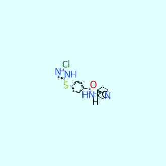 O=C(N[C@H]1CN2CCC1CC2)c1ccc(Sc2cnc(Cl)[nH]2)cc1